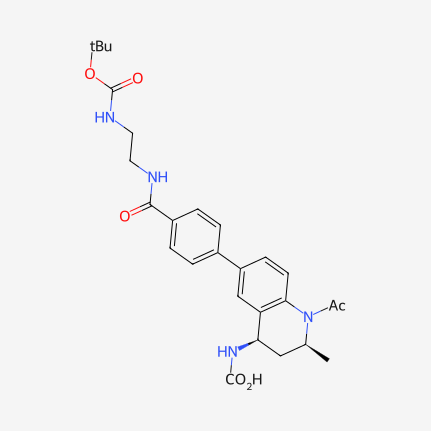 CC(=O)N1c2ccc(-c3ccc(C(=O)NCCNC(=O)OC(C)(C)C)cc3)cc2[C@H](NC(=O)O)C[C@@H]1C